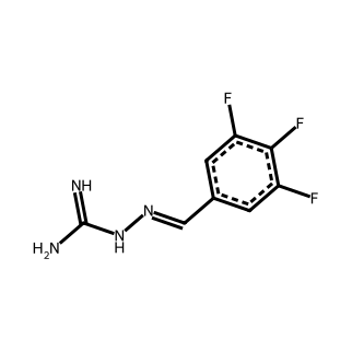 N=C(N)NN=Cc1cc(F)c(F)c(F)c1